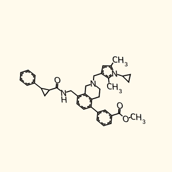 COC(=O)c1cccc(-c2ccc(CNC(=O)C3CC3c3ccccc3)c3c2CCN(Cc2cc(C)n(C4CC4)c2C)C3)c1